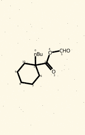 CCCCC1(C(=O)OC=O)CCCCC1